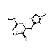 COC(=O)N[C@@H](Cc1cn(C)cn1)C(N)=O